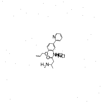 C=CCOc1ccc(-c2ccccn2)cc1NC(=O)CC(C)N.Cl.Cl